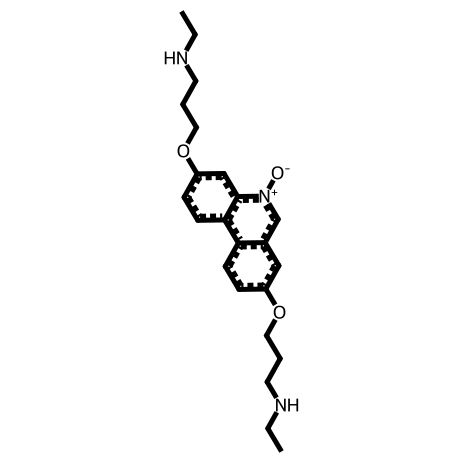 CCNCCCOc1ccc2c(c1)c[n+]([O-])c1cc(OCCCNCC)ccc21